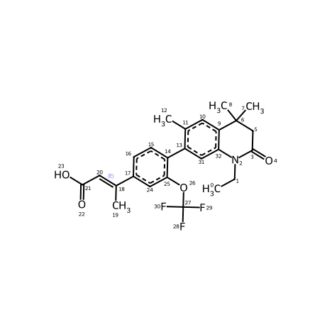 CCN1C(=O)CC(C)(C)c2cc(C)c(-c3ccc(/C(C)=C/C(=O)O)cc3OC(F)(F)F)cc21